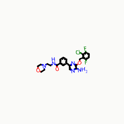 Nc1ncc(-c2cccc(C(=O)NCCN3CCOCC3)c2)nc1OCc1c(F)ccc(F)c1Cl